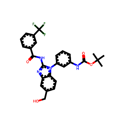 CC(C)(C)OC(=O)Nc1cccc(-n2c(NC(=O)c3cccc(C(F)(F)F)c3)nc3cc(CO)ccc32)c1